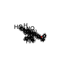 CC(C)c1ccccc1[C@H]1CCCN1C1CC2(CCN(c3ccc(C(=O)NS(=O)(=O)c4cc5c(c([N+](=O)[O-])c4)N[C@@H](C4CCC(C)(O)CC4)CO5)c(Oc4cc5cc[nH]c5nc4OC4CCN(C)CC4)c3)CC2)C1